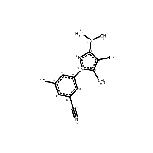 Cc1c(I)c(N(C)C)nn1-c1cc(F)cc(C#N)c1